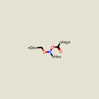 CCCCCCCCCCCON(CCCCCC)OC(=O)CCCCCCC